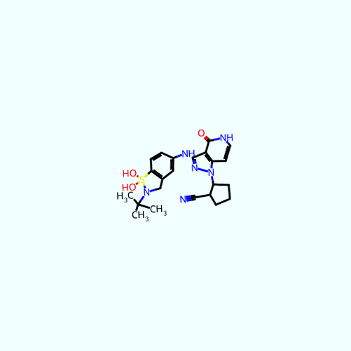 CC(C)(C)N1Cc2cc(Nc3nn(C4CCCC4C#N)c4cc[nH]c(=O)c34)ccc2S1(O)O